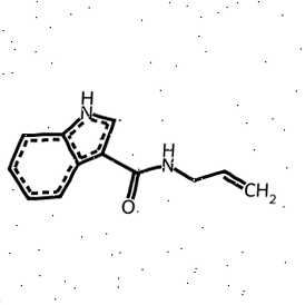 C=CCNC(=O)c1[c][nH]c2ccccc12